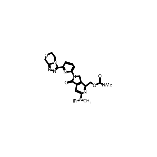 CNC(=O)OCc1nc(N(C)C(C)C)cc2c1CN(c1cccc(-c3nnc4n3CCOC4)n1)C2=O